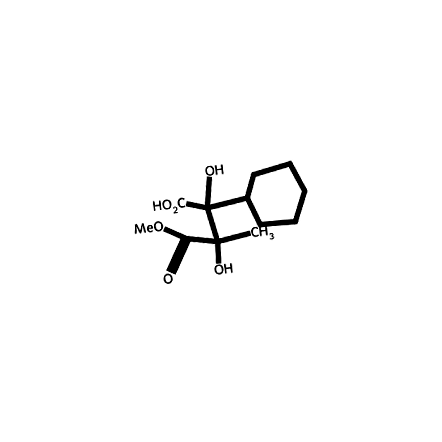 COC(=O)C(C)(O)C(O)(C(=O)O)C1CCCCC1